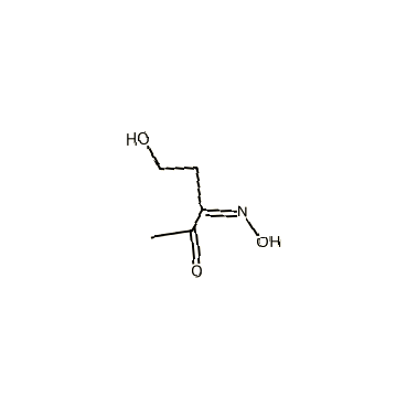 CC(=O)/C(CCO)=N\O